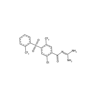 CCc1cc(S(=O)(=O)c2ccccc2C(F)(F)F)c(C(F)(F)F)cc1C(=O)N=C(N)N